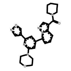 O=C(c1cnn2c(-c3cc(-c4cnoc4)nc(N4CCOCC4)c3)cccc12)N1CCCCC1